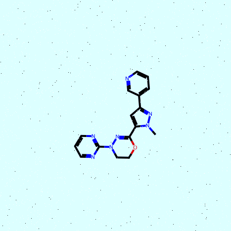 Cn1nc(-c2cccnc2)cc1C1=NN(c2ncccn2)CCO1